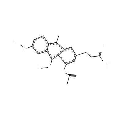 COc1ccc2c(F)c3cc(CCC(=O)O)cc(OC(C)=O)c3c(OC)c2c1